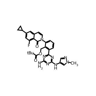 Cn1cc(Nc2nc(N)nc(-c3cccc(-n4ccc5cc(C6CC6)cc(F)c5c4=O)c3COC(=O)C(C)(C)C)n2)cn1